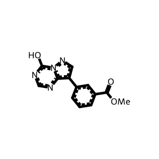 COC(=O)c1cccc(-c2cnn3c(O)ncnc23)c1